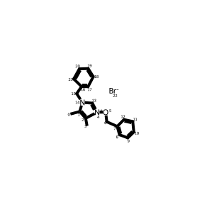 Cc1c(C)[n+](OCc2ccccc2)cn1Cc1ccccc1.[Br-]